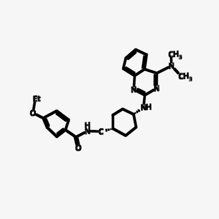 CCOc1ccc(C(=O)NC[C@H]2CC[C@@H](Nc3nc(N(C)C)c4ccccc4n3)CC2)cc1